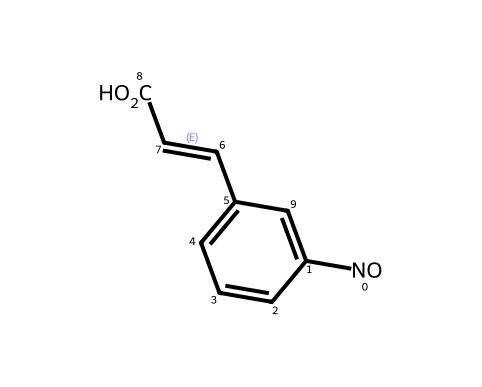 O=Nc1cccc(/C=C/C(=O)O)c1